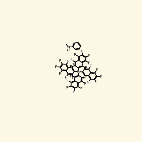 C[NH+](C)c1ccccc1.Fc1c(F)c(F)c2c(F)c([B-](c3c(F)c(F)c4c(F)c(F)c(F)c(F)c4c3F)(c3c(F)c(F)c4c(F)c(F)c(F)c(F)c4c3F)c3c(F)c(F)c4c(F)c(F)c(F)c(F)c4c3F)c(F)c(F)c2c1F